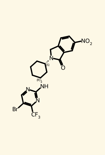 O=C1c2cc([N+](=O)[O-])ccc2CN1[C@H]1CCC[C@@H](Nc2ncc(Br)c(C(F)(F)F)n2)C1